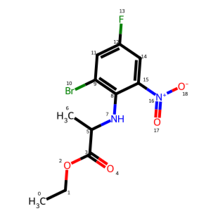 CCOC(=O)C(C)Nc1c(Br)cc(F)cc1[N+](=O)[O-]